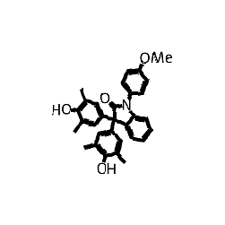 COc1ccc(N2C(=O)C(c3cc(C)c(O)c(C)c3)(c3cc(C)c(O)c(C)c3)c3ccccc32)cc1